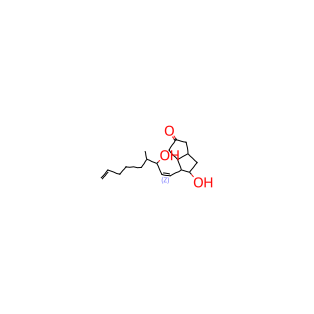 C=CCCCC(C)C(O)/C=C\C1C(O)CC2CC(=O)CC21